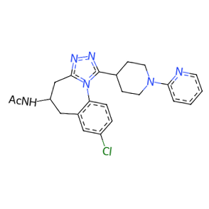 CC(=O)NC1Cc2cc(Cl)ccc2-n2c(nnc2C2CCN(c3ccccn3)CC2)C1